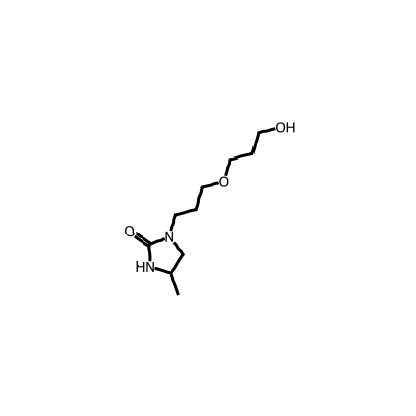 CC1CN(CCCOCCCO)C(=O)N1